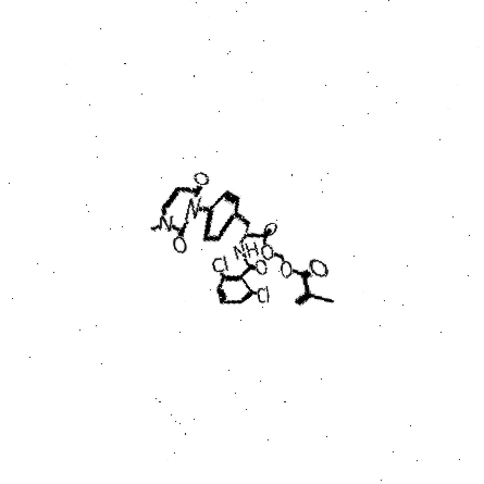 C=C(C)C(=O)OCOC(=O)[C@H](Cc1ccc(-n2c(=O)ccn(C)c2=O)cc1)NC(=O)c1c(Cl)cccc1Cl